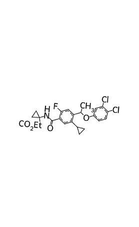 CCOC(=O)C1(NC(=O)c2cc(C3CC3)c(C(C)Oc3ccc(Cl)c(Cl)c3)cc2F)CC1